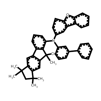 CC1(C)CC(C)(C)c2cc3c(cc21)-c1cccc(N(c2cccc(-c4ccccc4)c2)c2ccc4oc5ccccc5c4c2)c1C3(C)C